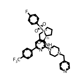 NC(=O)[C@@H]1CCC[N+]1(Cc1cc(-c2ccc(C(F)(F)F)cc2)nc(N2CCN(Cc3ccncc3)CC2)c1)S(=O)(=O)c1ccc(F)cc1